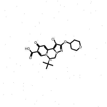 CC(C)(C)[C@@H]1Cn2nc(OC3CCOCC3)c(Cl)c2-c2cc(=O)c(C(=O)O)cn21